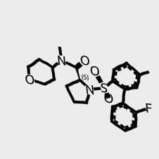 Cc1ccc(S(=O)(=O)N2CCC[C@H]2C(=O)N(C)C2CCOCC2)c(-c2ccccc2F)c1